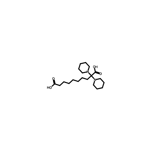 O=C(O)CCCCCCCC(C(=O)O)(N1CCCCC1)N1CCCCC1